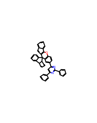 C1=CC2c3ccccc3C3(c4cc(-c5cc(-c6ccccc6)nc(-c6ccccc6)n5)ccc4Oc4c3ccc3ccccc43)C2C=C1